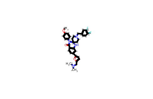 CN(C)Cc1ccc(-c2ccc3c(c2)NC2(CCN(Cc4ccc(F)c(F)c4)CC2)N(c2ccc(OC(F)(F)F)cc2)C3=O)o1